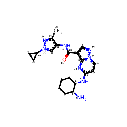 N[C@H]1CCCC[C@H]1Nc1ccn2ncc(C(=O)Nc3cn(C4CC4)nc3C(F)(F)F)c2n1